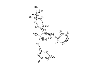 O=C(NCc1cccnc1)C(NCc1ccncc1)c1ccc(C(F)(F)F)cc1